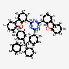 c1ccc([Si](c2ccccc2)(c2ccccc2)c2cccc(-c3nc(-c4cccc5c4oc4ccccc45)nc(-c4cccc5c4oc4ccccc45)n3)c2)cc1